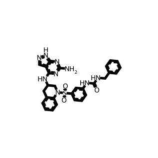 Nc1nc(NC2Cc3ccccc3N(S(=O)(=O)c3cccc(NC(=O)NCc4ccccc4)c3)C2)c2cn[nH]c2n1